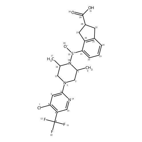 CC1CN(c2cc(Cl)c(C(F)(F)F)cn2)CC(C)N1[S+]([O-])c1cccc2c1CC(C(=O)O)C2